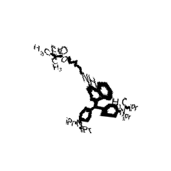 CCC(C)(C)C(=O)OCCCCCCNc1ccc(C(c2ccc(N(C(C)C)C(C)C)cc2)c2ccc(N(C(C)C)C(C)C(C)C)cc2)c2ccccc12